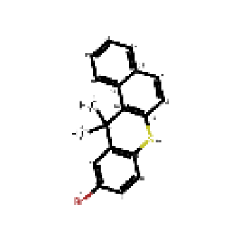 CC1(C)c2cc(Br)ccc2Sc2ccc3ccccc3c21